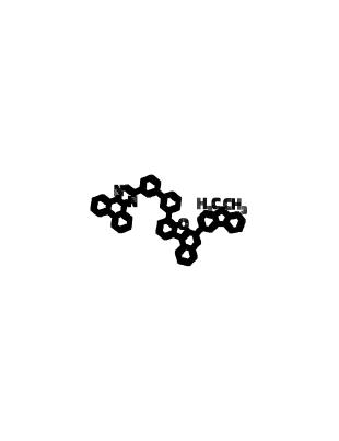 CC1(C)c2ccccc2-c2cc(-c3cc4ccccc4c4c3oc3c(-c5cccc(-c6cccc(-c7cnc8c9ccccc9c9ccccc9c8n7)c6)c5)cccc34)ccc21